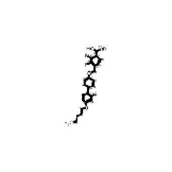 C=CCCCOc1ccc(-c2ccc(OCc3ccc(C(O)CCC)c(F)c3F)cc2)c(F)c1